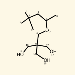 CC(CC(C)(C)C)OCC(CO)(CO)CO